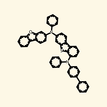 c1ccc(-c2ccc(N(c3ccccc3)c3cccc4c3sc3cc(N(c5ccccc5)c5ccc6c(c5)oc5ccccc56)ccc34)cc2)cc1